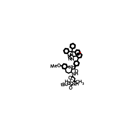 COc1ccc2c(c1)CCC(NC(=O)CC(C)(C)NC(=O)OC(C)(C)C)C(C(=O)c1ccc(-c3ccccc3-c3nnnn3C(c3ccccc3)(c3ccccc3)c3ccccc3)cc1)N2